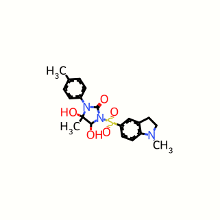 Cc1ccc(N2C(=O)N(S(=O)(=O)c3ccc4c(c3)CCN4C)C(O)C2(C)O)cc1